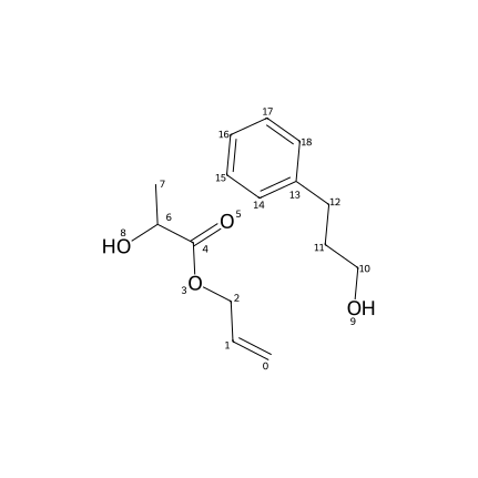 C=CCOC(=O)C(C)O.OCCCc1ccccc1